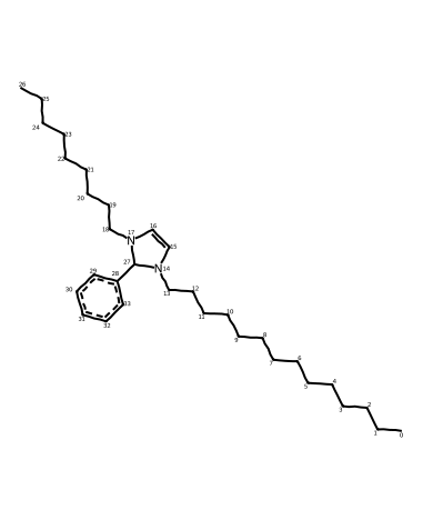 CCCCCCCCCCCCCCN1C=CN(CCCCCCCCC)C1c1ccccc1